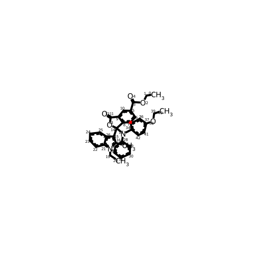 CCOC(=O)c1ccc2c(c1)C(=O)OC2(c1c(C)n(CC)c2ccccc12)N(c1ccccc1)c1ccc(OCC)cc1